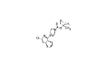 CC(C)(C)OC(=O)N1CC2CC1CN2c1nc(Cl)nc2ccccc12